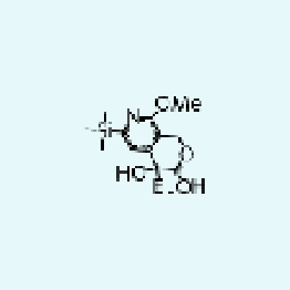 CCC1(O)c2cc([Si](C)(C)C)nc(OC)c2CO[C@@H]1O